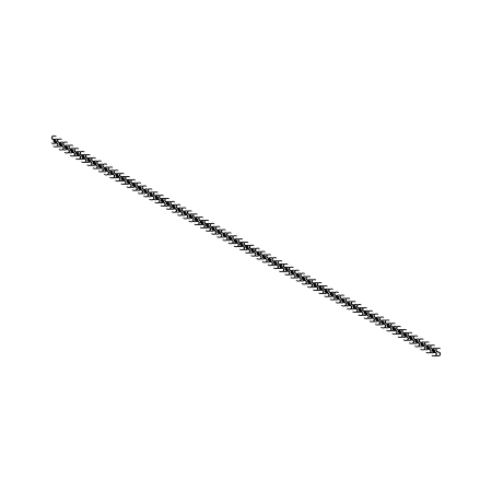 S=S=S=S=S=S=S=S=S=S=S=S=S=S=S=S=S=S=S=S=S=S=S=S=S=S=S=S=S=S=S=S=S=S=S=S=S=S=S=S=S=S=S=S=S=S=S=S=S=S=S=S=S=S=S=S=S=S=S=S=S=S=S=S=S=S=S=S=S=S=S=S=S=S=S=S=S=S=S=S=S=S=S=S=S=S=S=S=S=S=S=S=S=S=S=S=S=S=S=S=S=S=S=S=S=S=S=S=S=S=S=S=S=S=S=S=S=S=S=S=S=S=S=S=S=S=S=S=S=S=S=S=S=S=S=S=S